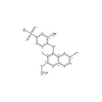 CCS(=O)(=O)c1ccc(Oc2c(C)c(CC(=O)O)cc3ccc(F)cc23)c(C#N)c1